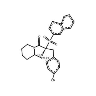 CCOC(=O)C1CCCCN1C(=O)[C@@](N)(Cc1ccc(C#N)cc1)S(=O)(=O)c1ccc2ccccc2c1